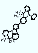 CC1(C)c2ccccc2N(c2ccccc2)c2ccc(-c3ccc4c(c3)c3cccc5c3n4-c3ccncc3C5(C)C)cc21